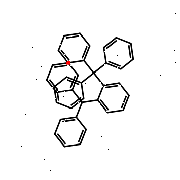 c1ccc([C](c2ccccc2)c2ccccc2C(c2ccccc2)(c2ccccc2)c2ccccc2)cc1